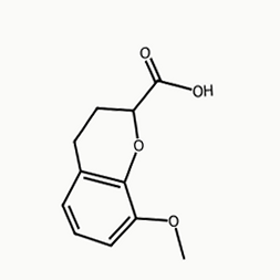 COc1cccc2c1OC(C(=O)O)CC2